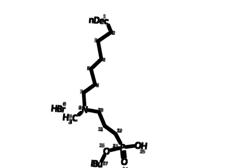 Br.CCCCCCCCCCCCCCCCN(C)CCCP(=O)(O)OC(C)CC